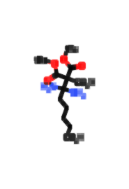 CC(C)(C)OC(=O)C(C(=O)O)(C(=O)OC(C)(C)C)C(N)(N)CCCCC(=O)O